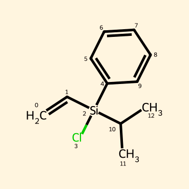 C=C[Si](Cl)(c1ccccc1)C(C)C